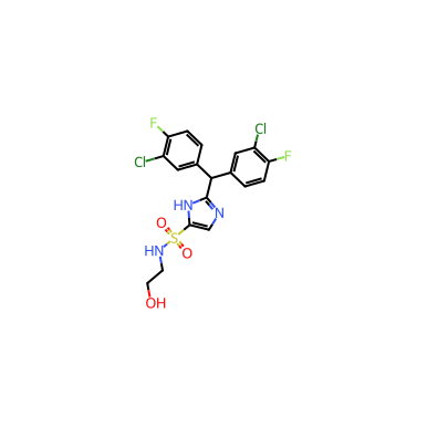 O=S(=O)(NCCO)c1cnc(C(c2ccc(F)c(Cl)c2)c2ccc(F)c(Cl)c2)[nH]1